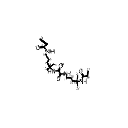 C=CC(=O)NCCCC(C)(C)NC(=O)C(=O)NCCCC(C)(C)NC(=O)C=C